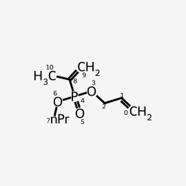 C=CCOP(=O)(OCCC)C(=C)C